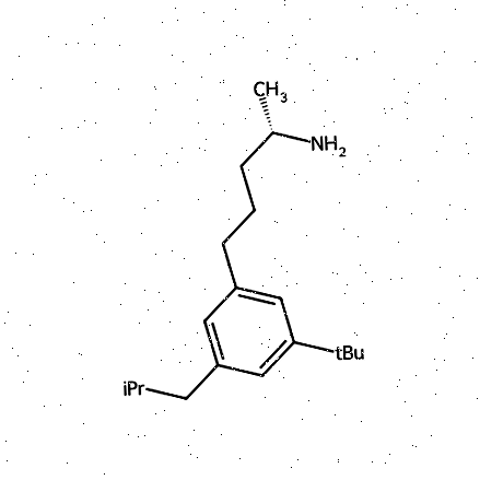 CC(C)Cc1cc(CCC[C@H](C)N)cc(C(C)(C)C)c1